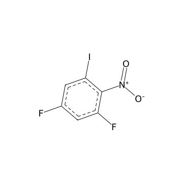 O=[N+]([O-])c1c(F)cc(F)cc1I